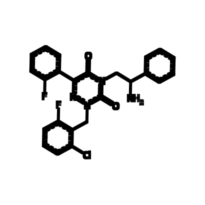 NC(Cn1c(=O)c(-c2ccccc2F)nn(Cc2c(F)cccc2Cl)c1=O)c1ccccc1